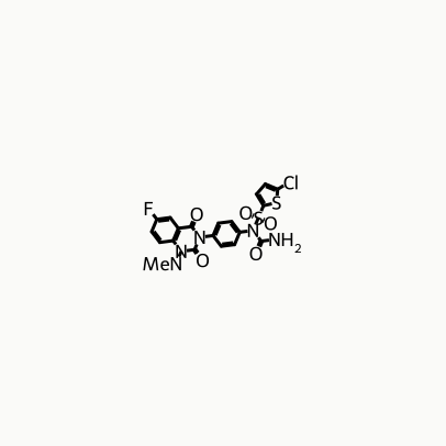 CNn1c(=O)n(-c2ccc(N(C(N)=O)S(=O)(=O)c3ccc(Cl)s3)cc2)c(=O)c2cc(F)ccc21